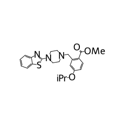 COC(=O)c1ccc(OC(C)C)cc1CN1CCN(c2nc3ccccc3s2)CC1